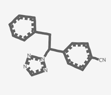 N#Cc1ccc(C(Cc2ccccc2)n2ncnn2)cc1